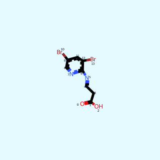 O=C(O)CC=Nc1ncc(Br)cc1Br